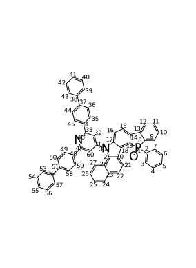 O=P1(c2ccccc2)c2ccccc2-c2ccc3c(c21)c1ccc2ccccc2c1n3-c1cc(-c2ccc(-c3ccccc3)cc2)nc(-c2ccc(-c3ccccc3)cc2)c1